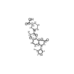 Cc1cscc1-c1cc(=O)oc2cc(OC(C)C(=O)N3CCC[C@H](C(=O)O)C3)ccc12